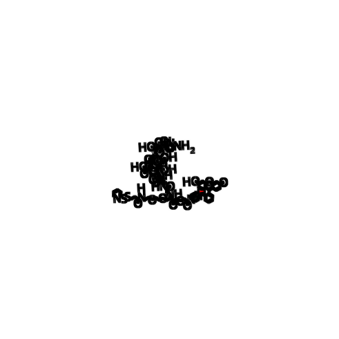 Nc1ccn([C@@H]2O[C@H](COP(=O)(O)OC3(C(=O)O)C[C@H](O)[C@@H](NC(=O)CNC(=O)CNC(COCCOCCNC(=O)CCSSc4ccccn4)C(=O)COCC(=O)N4CCN(C(=O)c5ccccc5-c5c6ccc(=O)cc-6oc6cc(O)ccc56)CC4)[C@H]([C@H](O)[C@H](O)CO)O3)[C@@H](O)[C@H]2O)c(=O)n1